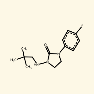 CC(C)(C)CNN1CCN(c2ccc(F)cc2)C1=O